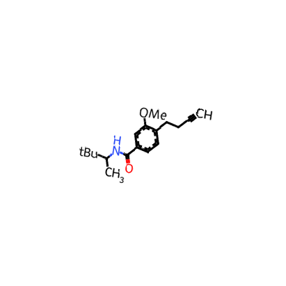 C#CCCc1ccc(C(=O)NC(C)C(C)(C)C)cc1OC